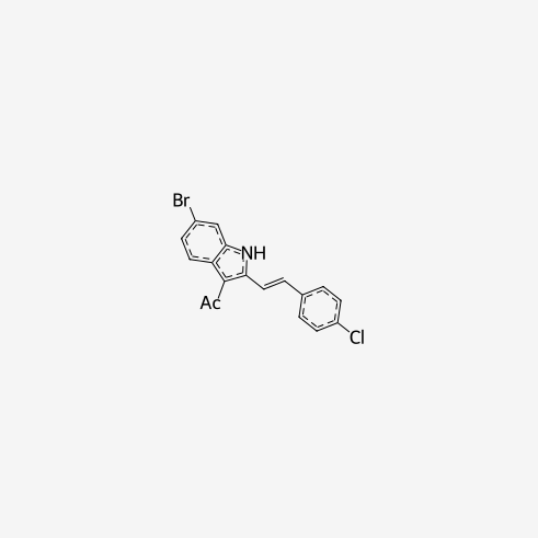 CC(=O)c1c(C=Cc2ccc(Cl)cc2)[nH]c2cc(Br)ccc12